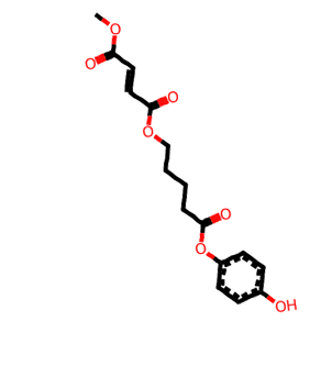 COC(=O)/C=C/C(=O)OCCCCC(=O)Oc1ccc(O)cc1